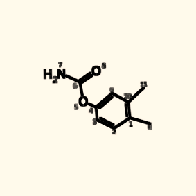 Cc1ccc(OC(N)=O)cc1C